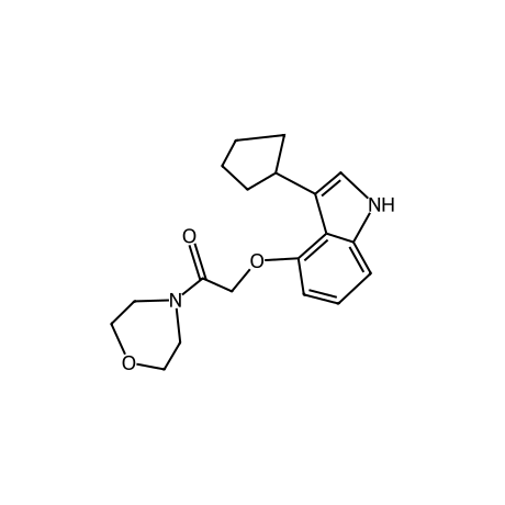 O=C(COc1cccc2[nH]cc(C3CCCC3)c12)N1CCOCC1